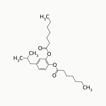 CCCCCCC(=O)Oc1ccc(CC(C)C)cc1OC(=O)CCCCCC